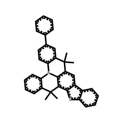 CC1(C)c2cc(-c3ccccc3)ccc2N2c3ccccc3C(C)(C)c3c2c1cc1c3sc2ccccc21